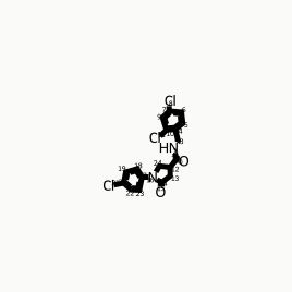 O=C(NCc1ccc(Cl)cc1Cl)C1CC(=O)N(c2ccc(Cl)cc2)C1